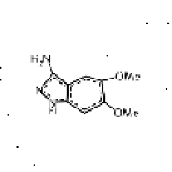 COc1cc2[nH]nc(N)c2cc1OC